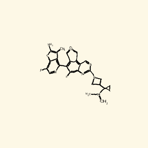 CN(C)C1(C2CN(c3ncc4c5c(c(-c6ncc(F)c7sc(N)c(C#N)c67)c(F)c4n3)COC5)C2)CC1